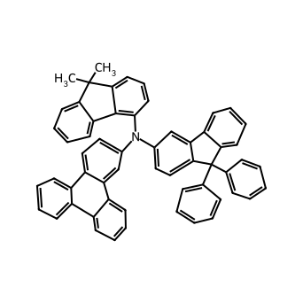 CC1(C)c2ccccc2-c2c(N(c3ccc4c(c3)-c3ccccc3C4(c3ccccc3)c3ccccc3)c3ccc4c5ccccc5c5ccccc5c4c3)cccc21